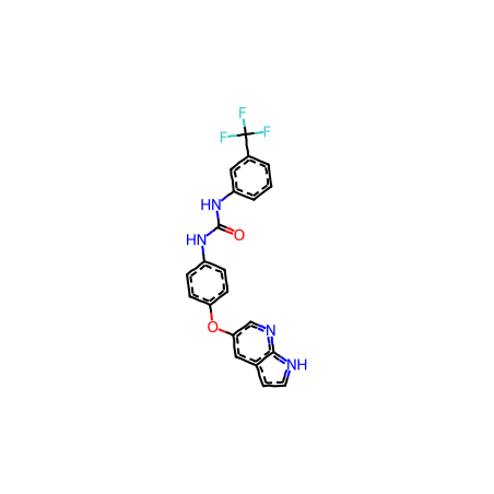 O=C(Nc1ccc(Oc2cnc3[nH]ccc3c2)cc1)Nc1cccc(C(F)(F)F)c1